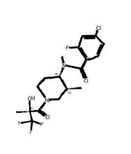 C[C@H]1CN(C(=O)[C@@](C)(O)C(F)(F)F)CC[C@H]1N(C)C(=O)c1ccc(Cl)cc1F